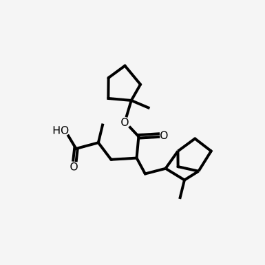 CC(CC(CC1C2CCC(C2)C1C)C(=O)OC1(C)CCCC1)C(=O)O